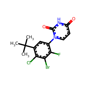 CC(C)(C)c1cc(-n2ccc(=O)[nH]c2=O)c(F)c(Br)c1Cl